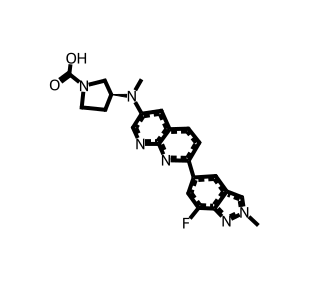 CN(c1cnc2nc(-c3cc(F)c4nn(C)cc4c3)ccc2c1)[C@H]1CCN(C(=O)O)C1